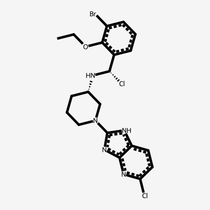 CCOc1c(Br)cccc1[C@H](Cl)N[C@H]1CCCN(c2nc3nc(Cl)ccc3[nH]2)C1